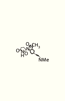 CNCC#Cc1ccc2c(c1)n(C)c(=O)n2C1CCC(=O)NC1=O